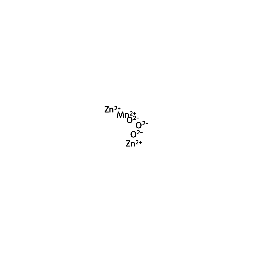 [Mn+2].[O-2].[O-2].[O-2].[Zn+2].[Zn+2]